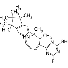 Bc1nc(F)nc(C2=CC=C3NC(C)(c4cc5c(cc43)C(C)(C)C(C)(C)C5(C)C)C2C)n1